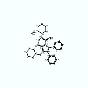 N=c1c2c(-c3ccccc3)c(-c3ccccc3)n(CC3CCCCC3)c2ncn1[C@@H]1CCCC[C@H]1O